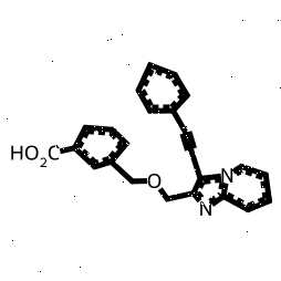 O=C(O)c1cccc(COCc2nc3ccccn3c2C#Cc2ccccc2)c1